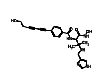 CC(C)(NCc1c[nH]cn1)C(NC(=O)c1ccc(C#CC#CCCO)cc1)C(=O)NO